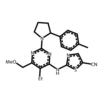 CCc1c(COC)nc(N2CCCC2c2ccc(C)cc2)nc1Nc1ncc(C#N)s1